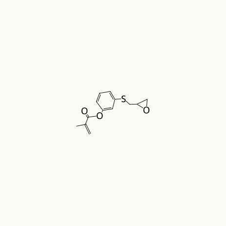 C=C(C)C(=O)Oc1cccc(SCC2CO2)c1